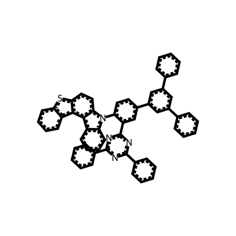 c1ccc(-c2cc(-c3ccccc3)cc(-c3ccc(-n4c5ccccc5c5c6c(ccc54)sc4ccccc46)c(-c4nc(-c5ccccc5)nc(-c5ccccc5)n4)c3)c2)cc1